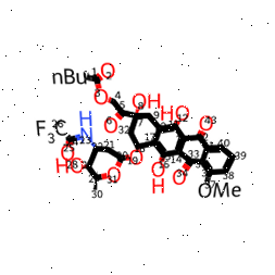 CCCCC(=O)OCC(=O)[C@]1(O)Cc2c(O)c3c(c(O)c2[C@@H](OC2C[C@H](NC(=O)C(F)(F)F)[C@H](O)[C@H](C)O2)C1)C(=O)c1c(OC)cccc1C3=O